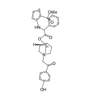 COC(=O)c1sccc1NC(C(=O)O[C@H]1C[N+]2(CC(=O)c3ccc(O)cc3)CCC1CC2)c1ccccc1